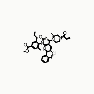 C=CC(=O)N1CCN(c2nc(=O)n(-c3c(C)cc(C(=O)OC)cc3CCC)c3nc(-c4ccccc4F)c(Cl)cc23)[C@@H](C)C1